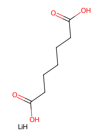 O=C(O)CCCCCC(=O)O.[LiH]